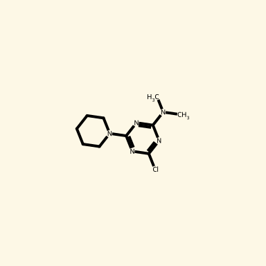 CN(C)c1nc(Cl)nc(N2CCCCC2)n1